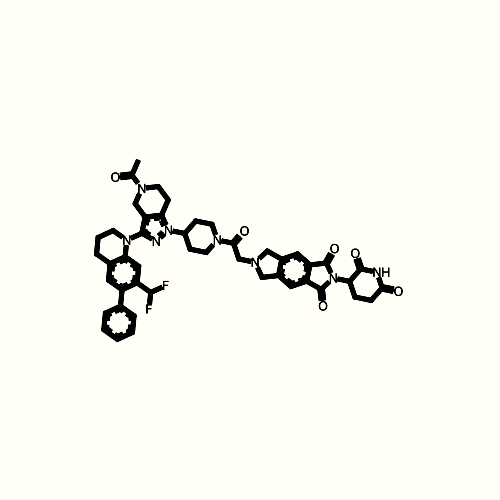 CC(=O)N1CCc2c(c(N3CCCc4cc(-c5ccccc5)c(C(F)F)cc43)nn2C2CCN(C(=O)CN3Cc4cc5c(cc4C3)C(=O)N(C3CCC(=O)NC3=O)C5=O)CC2)C1